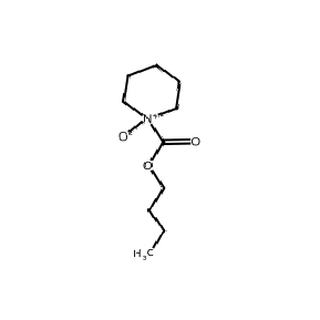 CCCCOC(=O)[N+]1([O-])CCCCC1